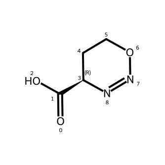 O=C(O)[C@H]1CCON=N1